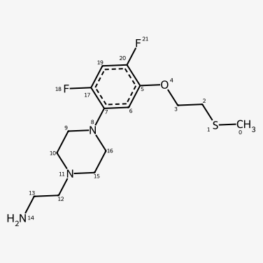 CSCCOc1cc(N2CCN(CCN)CC2)c(F)cc1F